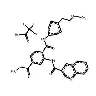 CNCCc1ccc(NC(=O)c2ccc(C(=O)OC)cc2NC(=O)c2cnc3ccccc3c2)cc1.O=C(O)C(F)(F)F